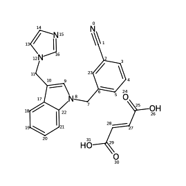 N#Cc1cccc(Cn2cc(Cn3ccnc3)c3ccccc32)c1.O=C(O)/C=C/C(=O)O